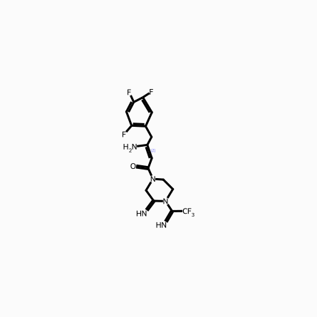 N=C1CN(C(=O)/C=C(\N)Cc2cc(F)c(F)cc2F)CCN1C(=N)C(F)(F)F